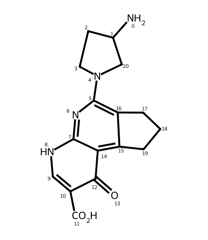 NC1CCN(c2nc3[nH]cc(C(=O)O)c(=O)c3c3c2CCC3)C1